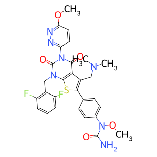 COc1ccc(-n2c(=O)c3c(CN(C)C)c(-c4ccc(N(OC)C(N)=O)cc4)sc3n(Cc3c(F)cccc3F)c2=O)nn1